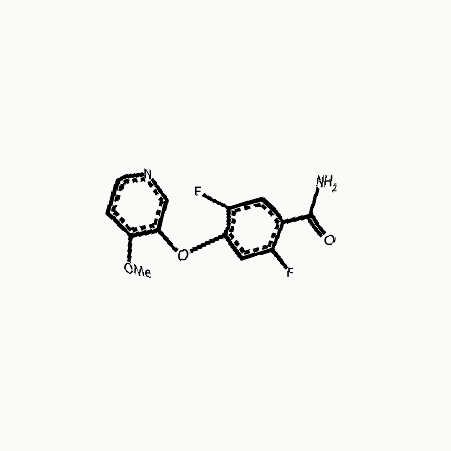 COc1ccncc1Oc1cc(F)c(C(N)=O)cc1F